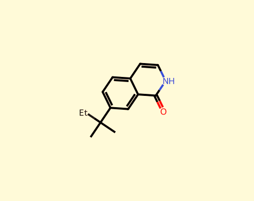 CCC(C)(C)c1ccc2cc[nH]c(=O)c2c1